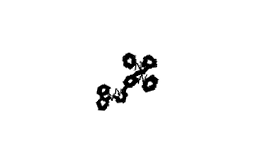 C1=CC2c3ccccc3N(c3cccc(-c4ccc5c(c4)n(-c4ccccc4)c4c6ccccc6n(-c6ccccc6)c54)n3)C2C=C1